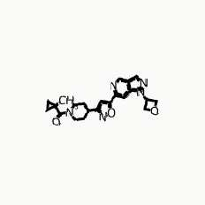 CC1(C(=O)N2CCC(c3cc(-c4cc5c(cn4)cnn5C4COC4)on3)CC2)CC1